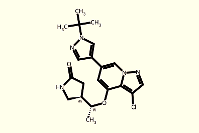 C[C@@H](Oc1cc(-c2cnn(C(C)(C)C)c2)cn2ncc(Cl)c12)[C@H]1CNC(=O)C1